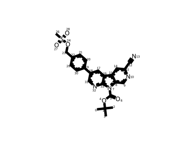 CC(C)(C)OC(=O)n1c2cnc(C#N)cc2c2cc(-c3ccc(COS(C)(=O)=O)cc3)cnc21